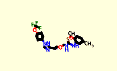 COc1ccc(C)cc1NC(=S)NCO/C=C/c1ncn(-c2ccc(OC(F)(F)F)cc2)n1